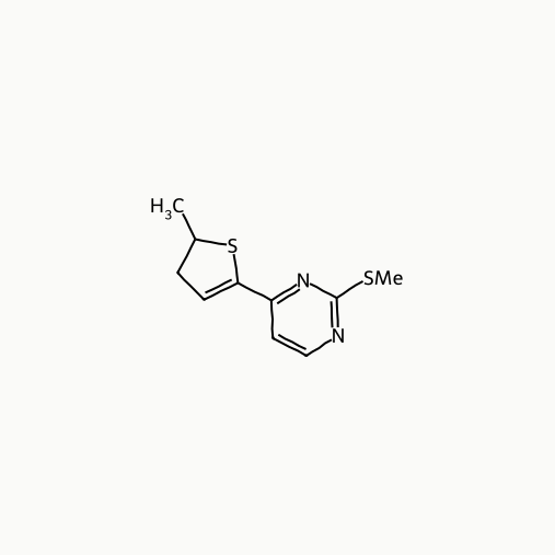 CSc1nccc(C2=CCC(C)S2)n1